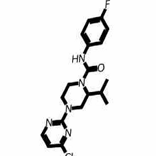 CC(C)C1CN(c2nccc(Cl)n2)CCN1C(=O)Nc1ccc(F)cc1